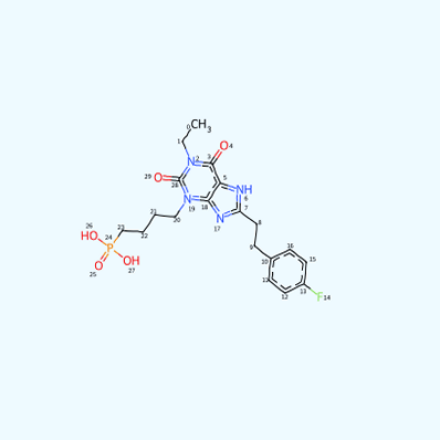 CCn1c(=O)c2[nH]c(CCc3ccc(F)cc3)nc2n(CCCCP(=O)(O)O)c1=O